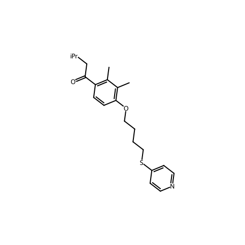 Cc1c(OCCCCSc2ccncc2)ccc(C(=O)CC(C)C)c1C